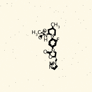 CC1CCN(c2ccc(N3C[C@H](Cn4ccnn4)OC3=O)cc2F)C(NS(C)(=O)=O)C1